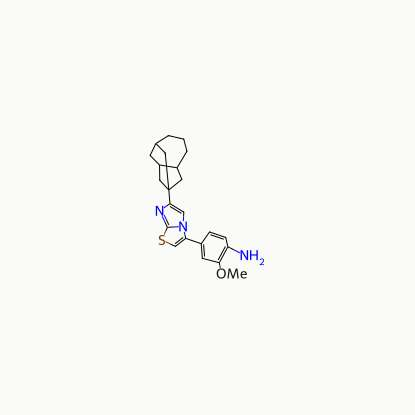 COc1cc(-c2csc3nc(C45CC6CCCC(C4)C(C6)C5)cn23)ccc1N